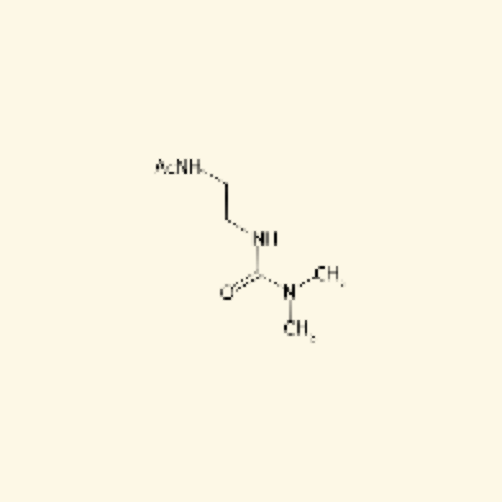 CC(=O)NCCNC(=O)N(C)C